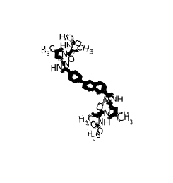 CCC(NC(=O)OC)C(=O)N1CC(C)CC1c1nc(-c2ccc3cc(-c4ccc(-c5c[nH]c([C@@H]6C[C@H](C)CN6C(=O)[C@H](CC)NC(=O)O)n5)cc4)ccc3c2)c[nH]1